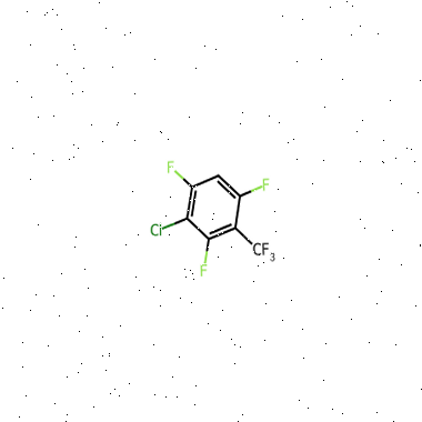 Fc1cc(F)c(C(F)(F)F)c(F)c1Cl